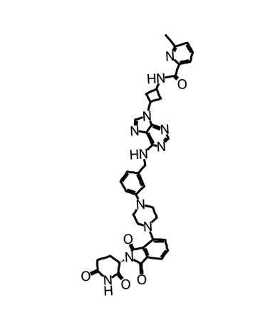 Cc1cccc(C(=O)NC2CC(n3cnc4c(NCc5cccc(N6CCN(c7cccc8c7C(=O)N([C@H]7CCC(=O)NC7=O)C8=O)CC6)c5)ncnc43)C2)n1